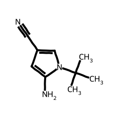 CC(C)(C)n1cc(C#N)cc1N